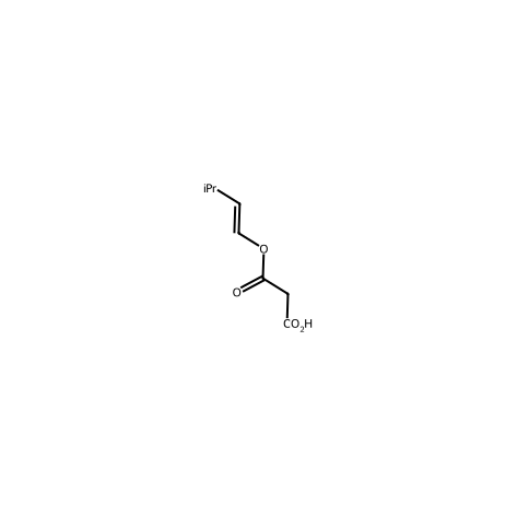 CC(C)C=COC(=O)CC(=O)O